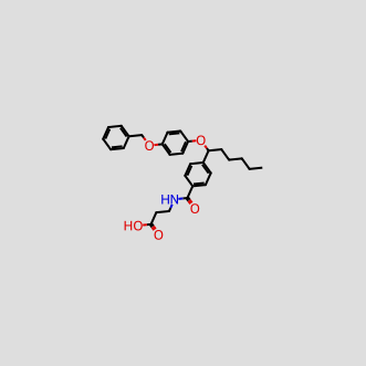 CCCCCC(Oc1ccc(OCc2ccccc2)cc1)c1ccc(C(=O)NCCC(=O)O)cc1